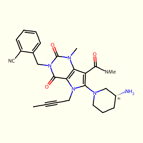 CC#CCn1c(N2CCC[C@@H](N)C2)c(C(=O)NC)c2c1c(=O)n(Cc1ccccc1C#N)c(=O)n2C